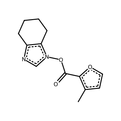 Cc1ccoc1C(=O)On1cnc2c1CCCC2